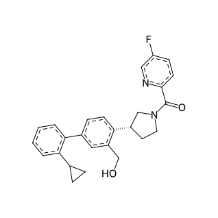 O=C(c1ccc(F)cn1)N1CC[C@H](c2ccc(-c3ccccc3C3CC3)cc2CO)C1